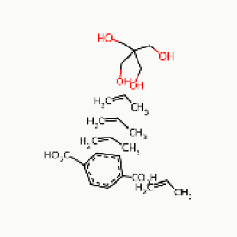 C=CC.C=CC.C=CC.C=CC.O=C(O)c1ccc(C(=O)O)cc1.OCC(CO)(CO)CO